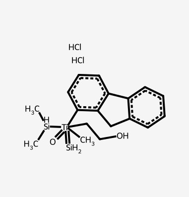 C[SiH](C)[Ti]([CH3])(=[O])(=[SiH2])([CH2]CO)[c]1cccc2c1Cc1ccccc1-2.Cl.Cl